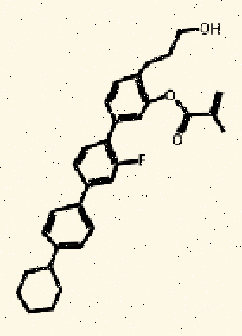 C=C(C)C(=O)Oc1cc(-c2ccc(-c3ccc(C4CCCCC4)cc3)cc2F)ccc1CCCO